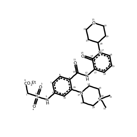 CCOC(=O)CS(=O)(=O)Nc1ccc(C(=O)Nc2cccn(C3CCOCC3)c2=O)c(N2CC[Si](C)(C)CC2)c1